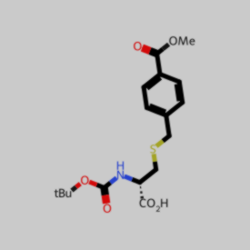 COC(=O)c1ccc(CSC[C@@H](NC(=O)OC(C)(C)C)C(=O)O)cc1